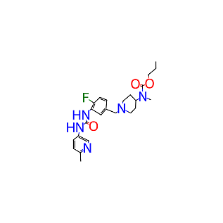 CCCOC(=O)N(C)C1CCN(Cc2ccc(F)c(NC(=O)Nc3ccc(C)nc3)c2)CC1